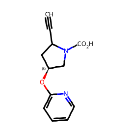 C#CC1C[C@H](Oc2ccccn2)CN1C(=O)O